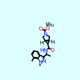 Cc1cccc2c(C(C)NC(=O)C3[C@H]4CN(C(=O)OC(C)(C)C)C[C@@H]34)nn(C)c12